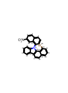 O=[N+]([O-])c1ccc2cccc(-n3c4ccccc4c4ccc5cccc(Br)c5c43)c2c1